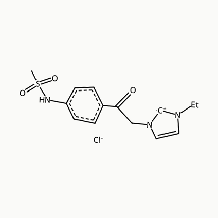 CCN1[C+]N(CC(=O)c2ccc(NS(C)(=O)=O)cc2)C=C1.[Cl-]